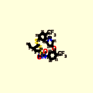 C=Cc1cc(S(=O)(=O)Nc2ccc(C(F)(F)F)c(O[C@@H]3CCN(C)C3)c2)sc1Sc1ccc(C(F)(F)F)cc1